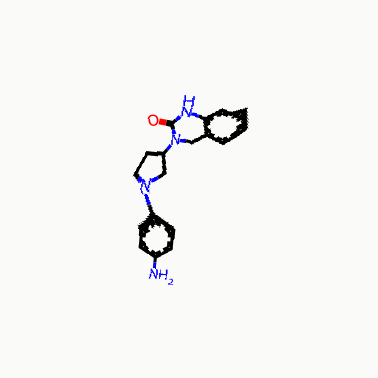 Nc1ccc(N2CCC(N3Cc4ccccc4NC3=O)C2)cc1